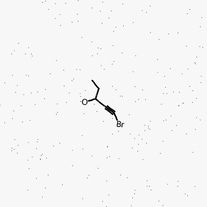 CCC([O])C#CBr